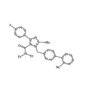 CCCCc1nc(-c2ccc(F)cc2)c(C(=O)N(CC)CC)n1Cc1ccc(-c2ccccc2C#N)cc1